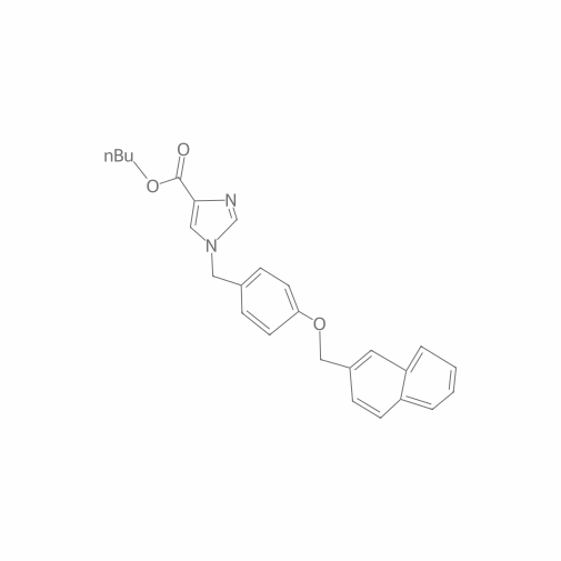 CCCCOC(=O)c1cn(Cc2ccc(OCc3ccc4ccccc4c3)cc2)cn1